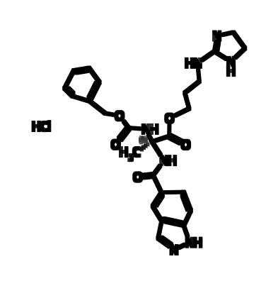 C[C@@](NC(=O)OCc1ccccc1)(NC(=O)c1ccc2[nH]ncc2c1)C(=O)OCCCNC1=NCCN1.Cl